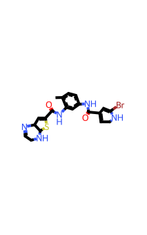 Cc1ccc(NC(=O)C2=CCNC(Br)=C2)cc1NC(=O)C1=CC2N=CCNC2S1